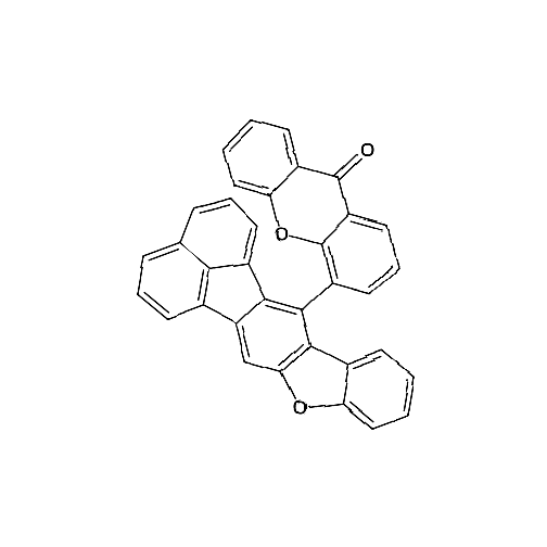 O=c1c2ccccc2oc2c(-c3c4c(cc5oc6ccccc6c35)-c3cccc5cccc-4c35)cccc12